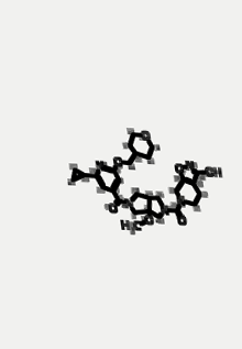 COC12CN(C(=O)c3cc(OCC4CCOCC4)nc(C4CC4)c3)CC1CN(C(=O)N1CCc3c(O)noc3C1)C2